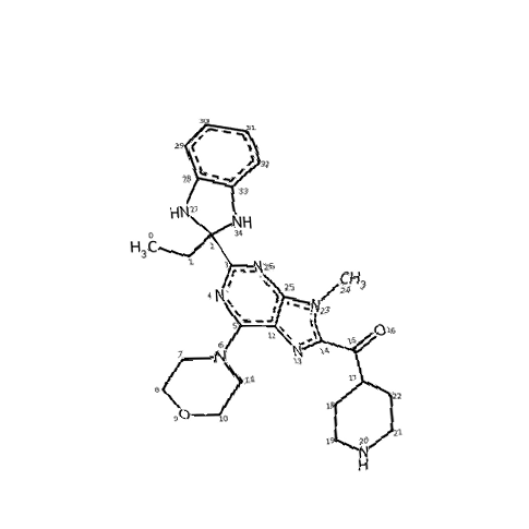 CCC1(c2nc(N3CCOCC3)c3nc(C(=O)C4CCNCC4)n(C)c3n2)Nc2ccccc2N1